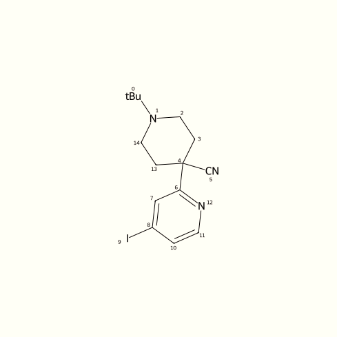 CC(C)(C)N1CCC(C#N)(c2cc(I)ccn2)CC1